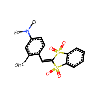 CCN(CC)c1ccc(C=C2S(=O)(=O)c3ccccc3S2(=O)=O)c(C=O)c1